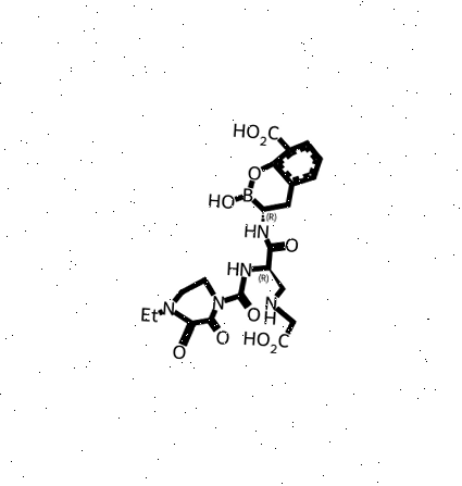 CCN1CCN(C(=O)N[C@H](CNCC(=O)O)C(=O)N[C@H]2Cc3cccc(C(=O)O)c3OB2O)C(=O)C1=O